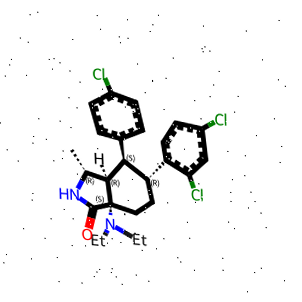 CCN(CC)[C@@]12CC[C@@H](c3ccc(Cl)cc3Cl)[C@H](c3ccc(Cl)cc3)[C@@H]1[C@@H](C)NC2=O